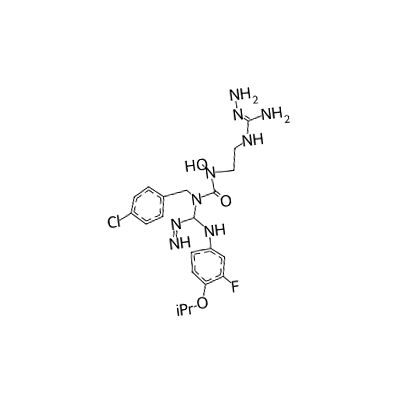 CC(C)Oc1ccc(NC(N=N)N(Cc2ccc(Cl)cc2)C(=O)N(O)CCNC(N)=NN)cc1F